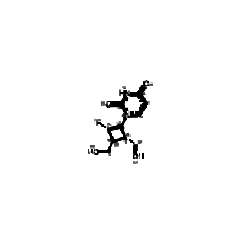 O=c1ccn([C@@H]2[C@@H](F)[C@H](CO)[C@H]2CO)c(=O)[nH]1